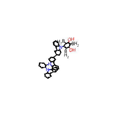 Bc1c(O)c(B)c(-n2c3ccccc3c3cc(-c4ccc5c(c4)c4ccccc4n5-c4ccccc4-n4c5ccccc5c5ccccc54)ccc32)c(B)c1O